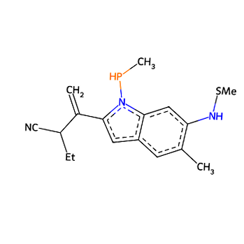 C=C(c1cc2cc(C)c(NSC)cc2n1PC)C(C#N)CC